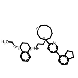 CCO[C@H]1CC[C@H](NCC[C@]2(c3ccc(-c4cccc5c4CCC5)cn3)CCCCCOCC2)c2ccccc21